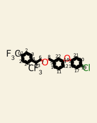 FC(F)(F)c1ccc(C(COCc2cccc(Oc3ccc(Cl)cc3)c2)C(F)(F)F)cc1